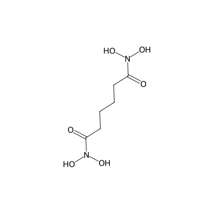 O=C(CCCCC(=O)N(O)O)N(O)O